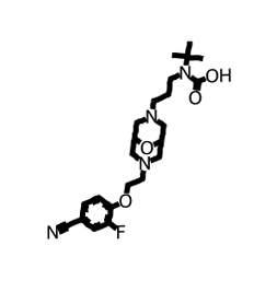 CC(C)(C)N(CCCN1CC2CN(CCOc3ccc(C#N)cc3F)CC(C1)O2)C(=O)O